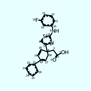 O=C(O)CC1(c2csc(Nc3cccc(F)c3)n2)C=CC(c2ccccc2)=CC1